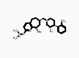 CC(=O)[C@@H]1CN(C[C@@H]2CCc3ccc(O[SiH](C)C)nc3[C@H](C(C)(C)C)C2)CC[C@H]1c1ccccc1C